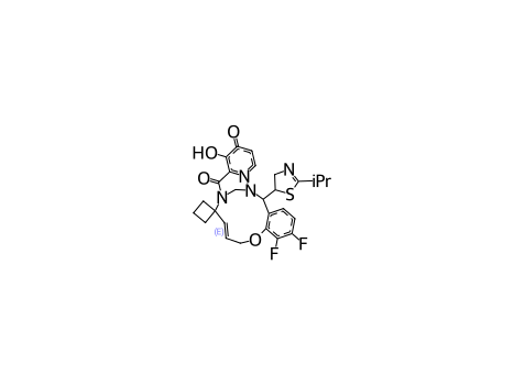 CC(C)C1=NCC(C2c3ccc(F)c(F)c3OC/C=C/C3(CCC3)N3CN2n2ccc(=O)c(O)c2C3=O)S1